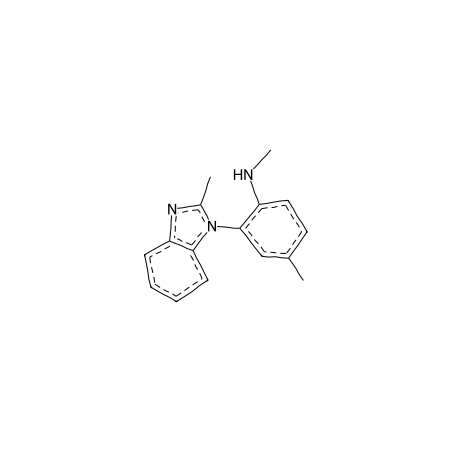 CNc1ccc(C)cc1-n1c(C)nc2ccccc21